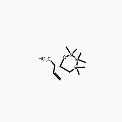 C=CCC(=O)O.C[Si]1(C)CCO[Si](C)(C)[Si]1(C)C